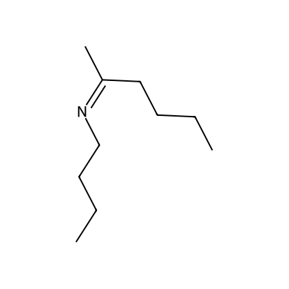 CCCC/N=C(/C)CCCC